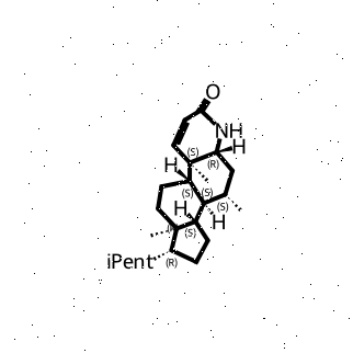 CCCC(C)[C@H]1CC[C@H]2[C@@H]3[C@@H](C)C[C@H]4NC(=O)C=C[C@]4(C)[C@H]3CC[C@]12C